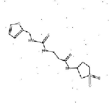 O=C(CCNC(=S)NCc1ccco1)NC1CCS(=O)(=O)C1